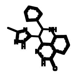 Cc1n[nH]c(C2c3n[nH]c(=O)c4cccc(c34)NC2c2ccccc2)n1